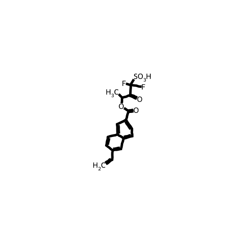 C=Cc1ccc2cc(C(=O)OC(C)C(=O)C(F)(F)S(=O)(=O)O)ccc2c1